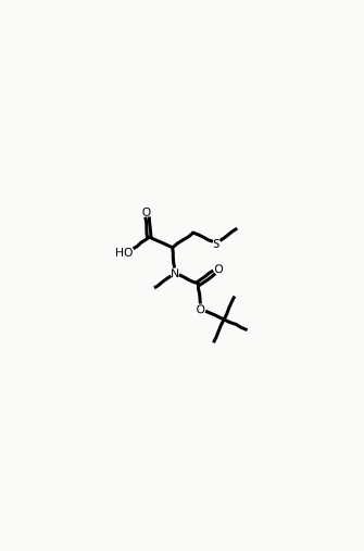 CSCC(C(=O)O)N(C)C(=O)OC(C)(C)C